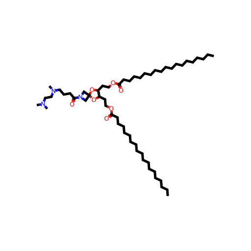 CCCCCCCCCCCCCCCCCCC(=O)OCCC1OC2(CN(C(=O)CCCN(C)CCN(C)C)C2)OC1CCOC(=O)CCCCCCCCCCCCCCCCCC